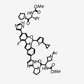 COC(=O)NC(C(=O)N1CCC[C@H]1c1ncc(-c2ccc3c(c2)cc2n3C(c3ccc(C4CC4)s3)Oc3cc(-c4cnc([C@@H]5CCCN5C(=O)[C@@H](NC(=O)OC)C(C)C)[nH]4)cc(F)c3-2)[nH]1)C1CN(C(C)=O)C1